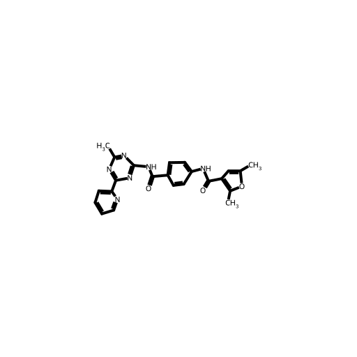 Cc1nc(NC(=O)c2ccc(NC(=O)c3cc(C)oc3C)cc2)nc(-c2ccccn2)n1